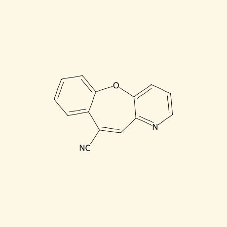 N#CC1=Cc2ncccc2Oc2ccccc21